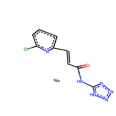 O=C(C=Cc1cccc(Cl)n1)Nc1nnn[nH]1.[Na]